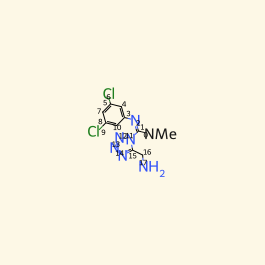 CNC(=Nc1cc(Cl)cc(Cl)c1)n1nnnc1CN